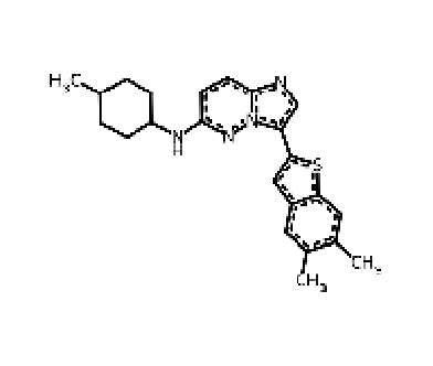 Cc1cc2cc(-c3cnc4ccc(NC5CCC(C)CC5)nn34)sc2cc1C